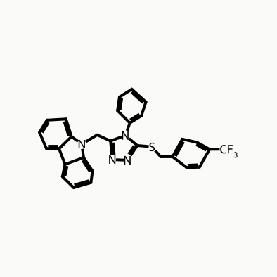 FC(F)(F)c1ccc(CSc2nnc(Cn3c4ccccc4c4ccccc43)n2-c2ccccc2)cc1